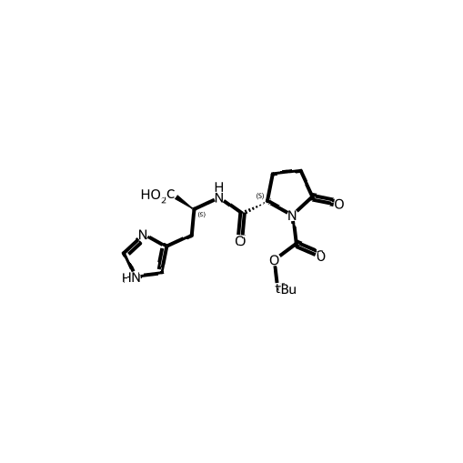 CC(C)(C)OC(=O)N1C(=O)CC[C@H]1C(=O)N[C@@H](Cc1c[nH]cn1)C(=O)O